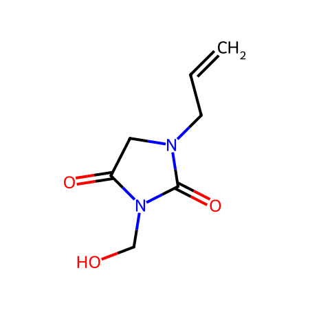 C=CCN1CC(=O)N(CO)C1=O